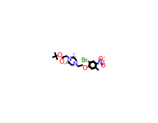 Cc1cc(OCCN2C[C@@H](C)N(CC(=O)OC(C)(C)C)[C@@H](C)C2)c(Br)cc1[N+](=O)[O-]